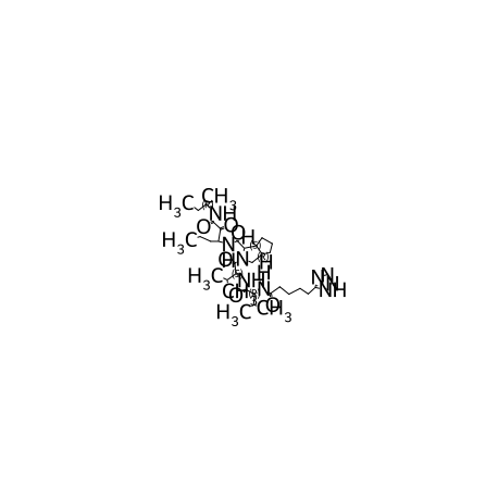 CCCC(NC(=O)C1[C@H]2CCC[C@H]2CN1C(=O)[C@@H](NC(=O)[C@H](NC(=O)CCCCc1nnn[nH]1)C(C)C)C(C)C)C(=O)C(=O)N[C@H](C)CC